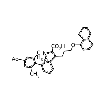 CC(=O)c1cc(C)c(-c2cccc3c(CCCOc4cccc5ccccc45)c(C(=O)O)nn23)c(C)c1